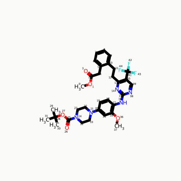 COC(=O)Cc1ccccc1CCc1nc(Nc2ccc(N3CCN(C(=O)OC(C)(C)C)CC3)cc2OC)ncc1C(F)(F)F